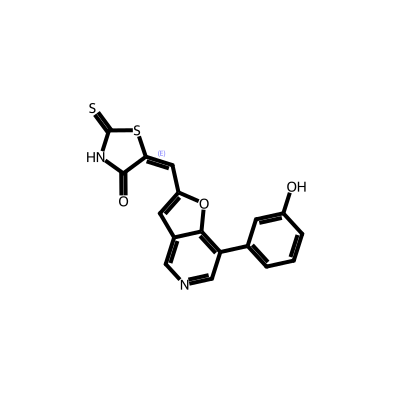 O=C1NC(=S)S/C1=C/c1cc2cncc(-c3cccc(O)c3)c2o1